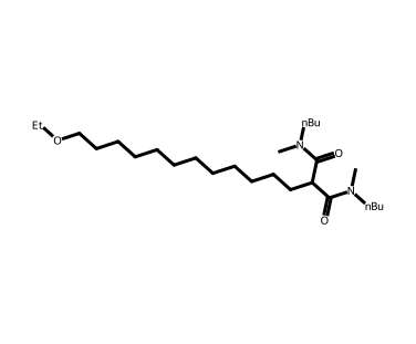 CCCCN(C)C(=O)C(CCCCCCCCCCCCOCC)C(=O)N(C)CCCC